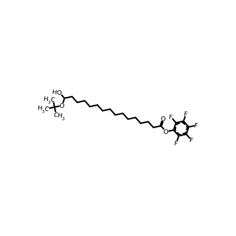 CC(C)(C)OC(O)CCCCCCCCCCCCCCC(=O)Oc1c(F)c(F)c(F)c(F)c1F